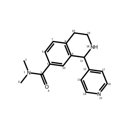 CN(C)C(=O)c1ccc2c(c1)C(c1ccncc1)NCC2